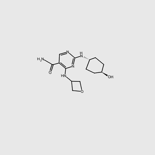 NC(=O)c1cnc(N[C@H]2CC[C@H](O)CC2)nc1NC1COC1